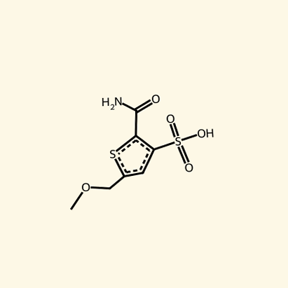 COCc1cc(S(=O)(=O)O)c(C(N)=O)s1